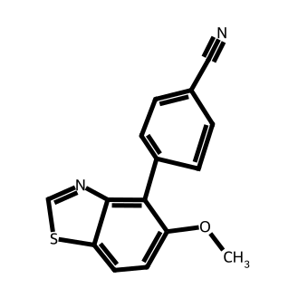 COc1ccc2scnc2c1-c1ccc(C#N)cc1